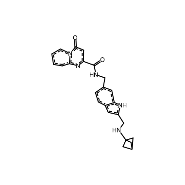 O=C(NCc1ccc2cc(CNC34CC(C3)C4)[nH]c2c1)c1cc(=O)n2ccccc2n1